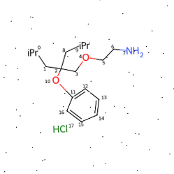 CC(C)CC(COCCN)(CC(C)C)Oc1ccccc1.Cl